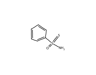 NS(=O)(=S)c1ccccc1